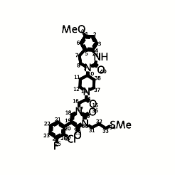 COc1ccc2c(c1)CCN(C1CCN(C(=O)Cn3cc(-c4cccc(F)c4Cl)c(=O)n(CCCSC)c3=O)CC1)C(=O)N2